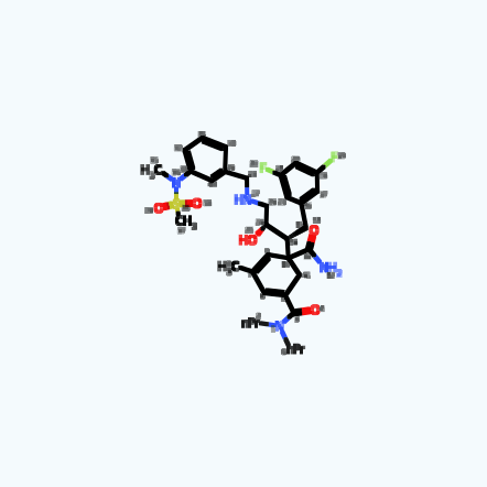 CCCN(CCC)C(=O)C1=CC(C)=CC(C(N)=O)([C@H](Cc2cc(F)cc(F)c2)[C@@H](O)CNCc2cccc(N(C)S(C)(=O)=O)c2)C1